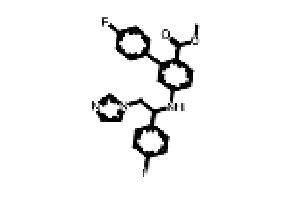 COC(=O)c1ccc(NC(Cn2ccnc2)c2ccc(F)cc2)cc1-c1ccc(F)cc1